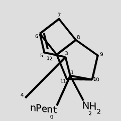 CCCCCC1(N)C(C)C=C2CC3CC1CC23